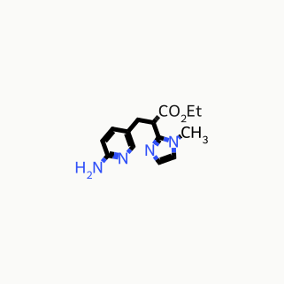 CCOC(=O)C(Cc1ccc(N)nc1)c1nccn1C